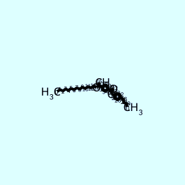 CCCCCCCCCCCCCCOC(C)c1ccc(C(=O)Oc2ccc(CCCC)cc2)cc1